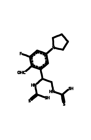 O=Cc1c(F)cc(N2CCCC2)cc1C(CNC(=S)S)NC(=S)S